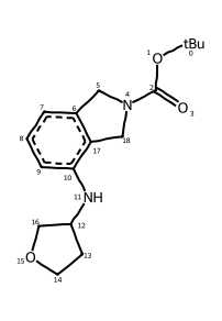 CC(C)(C)OC(=O)N1Cc2cccc(NC3CCOC3)c2C1